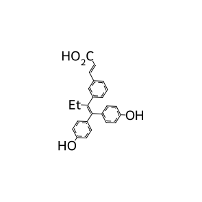 CCC(=C(c1ccc(O)cc1)c1ccc(O)cc1)c1cccc(C=CC(=O)O)c1